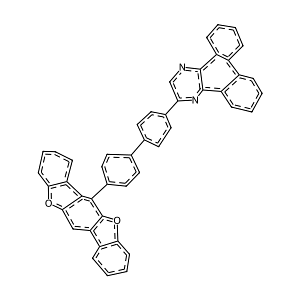 c1ccc2c(c1)oc1c(-c3ccc(-c4ccc(-c5cnc6c7ccccc7c7ccccc7c6n5)cc4)cc3)c3c(cc12)oc1ccccc13